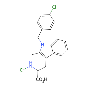 Cc1c(CC(NCl)C(=O)O)c2ccccc2n1Cc1ccc(Cl)cc1